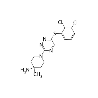 CC1(N)CCN(c2ncc(Sc3cccc(Cl)c3Cl)nn2)CC1